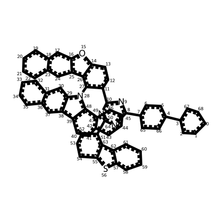 c1ccc(-c2ccc(-c3nc(-c4ccc5oc6cc7ccccc7cc6c5c4-n4c5cc6ccccc6cc5c5ccc6ccccc6c54)nc(-c4cccc5sc6ccccc6c45)n3)cc2)cc1